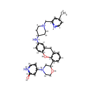 Cc1ccnc(CN2CCC(Nc3ccc4c(c3)Cc3cccc(C5CN(c6cc[nH]c(=O)c6)CCO5)c3O4)CC2)c1